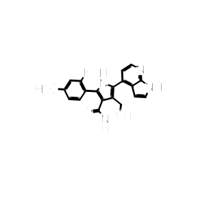 CCc1c(-c2ccnc3[nH]ccc23)[nH]c(-c2ccc(C)cc2F)c1C(N)=O